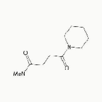 CNC(=O)CCC(=O)N1CCCCC1